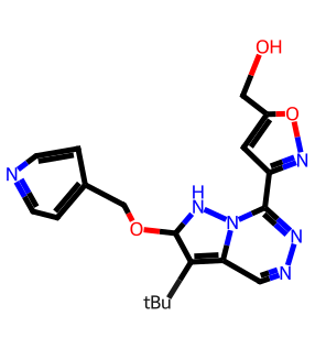 CC(C)(C)C1=C2C=NN=C(c3cc(CO)on3)N2NC1OCc1ccncc1